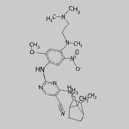 COc1cc(N(C)CCN(C)C)c([N+](=O)[O-])cc1Nc1ncc(C#N)c(NC2C(C)C3CCC2C3(C)C)n1